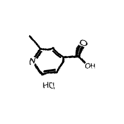 Cc1cc(C(=O)O)ccn1.Cl